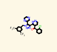 O=C(c1ccccc1Cl)c1ccnnc1-c1nnn(Cc2cc(C(F)(F)F)cc(C(F)(F)F)c2)c1-c1cnccn1